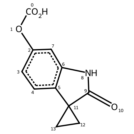 O=C(O)Oc1ccc2c(c1)NC(=O)C21CC1